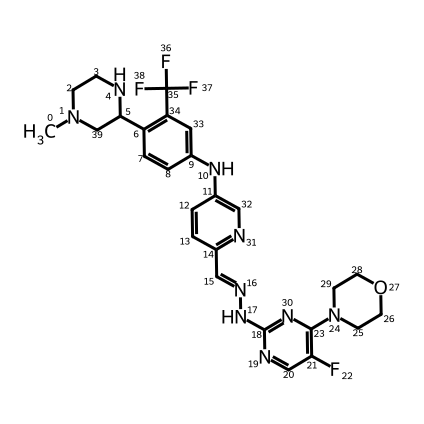 CN1CCNC(c2ccc(Nc3ccc(/C=N/Nc4ncc(F)c(N5CCOCC5)n4)nc3)cc2C(F)(F)F)C1